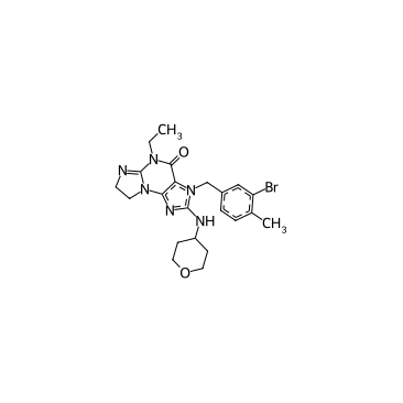 CCN1C(=O)c2c(nc(NC3CCOCC3)n2Cc2ccc(C)c(Br)c2)N2CCN=C12